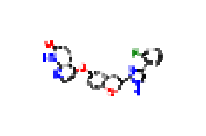 O=C1CCc2c(Oc3ccc4c(c3)CC(c3nc(-c5ccccc5F)c[nH]3)CO4)ccnc2N1